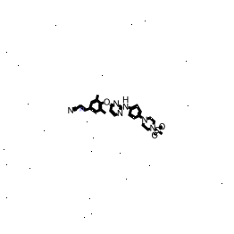 Cc1cc(/C=C/C#N)cc(C)c1Oc1ccnc(Nc2ccc(N3CCN(S(C)(=O)=O)CC3)cc2)n1